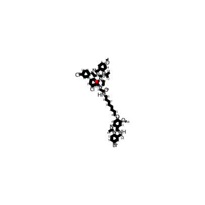 COc1ccc(C2=N[C@@H](c3ccc(Cl)cc3)[C@@H](c3ccc(Cl)cc3)N2C(=O)N2CCN(CC(=O)NCCCCCCCCOc3cc4nc(C)nc(N[C@H](C)c5cccc(Br)c5)c4cc3OC)CC2)c(OC(C)C)c1